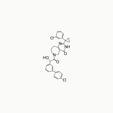 O=C(C(O)c1cccc(-c2ccc(Cl)cc2)c1)N1CCCc2nc(C3(c4cccc(Cl)c4)CC3)[nH]c(=O)c2C1